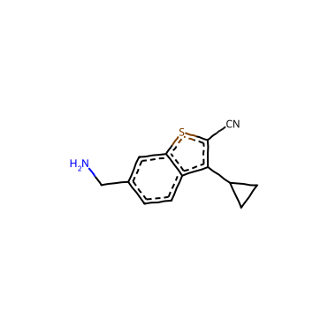 N#Cc1sc2cc(CN)ccc2c1C1CC1